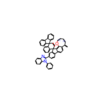 C=C1/C=C\C=C/Oc2c1ccc1c2C2(c3cc(-c4nc5ccccc5n4-c4ccccc4)ccc3-1)c1ccccc1C1(c3ccccc3-c3ccccc31)c1ccccc12